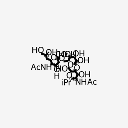 CC(=O)N[C@H]1C(C[C@H](O)CO)O[C@@](OCC2O[C@@H](O[C@@H]3C(CO)O[C@@H](C(C)C)[C@@H](NC(C)=O)C3O)[C@@H](O)C(O)[C@H]2O)(C(=O)O)C[C@H]1O